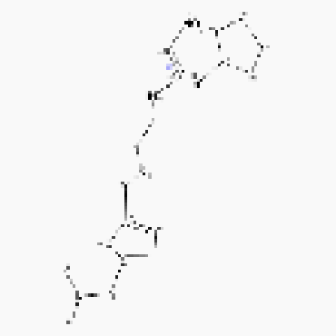 CN(C)Cc1ccc(CSCCN/C(=C/[N+](=O)[O-])NC2CCCC2)o1